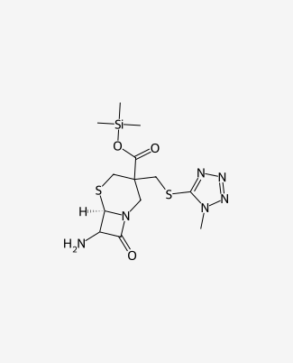 Cn1nnnc1SCC1(C(=O)O[Si](C)(C)C)CS[C@@H]2C(N)C(=O)N2C1